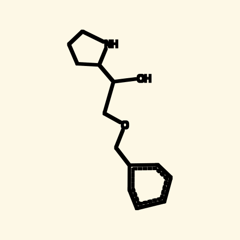 OC(COCc1ccccc1)C1CCCN1